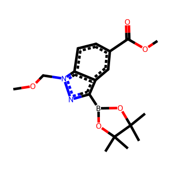 COCn1nc(B2OC(C)(C)C(C)(C)O2)c2cc(C(=O)OC)ccc21